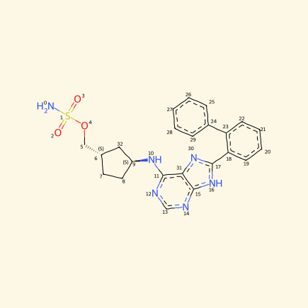 NS(=O)(=O)OC[C@H]1CC[C@H](Nc2ncnc3[nH]c(-c4ccccc4-c4ccccc4)nc23)C1